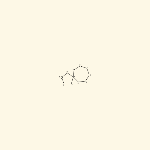 C1CCCC2(CC1)CCOC2